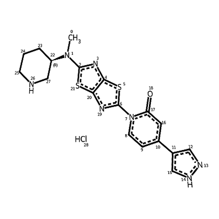 CN(c1nc2sc(-n3ccc(-c4cn[nH]c4)cc3=O)nc2s1)[C@@H]1CCCNC1.Cl